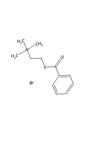 C[N+](C)(C)CCSC(=O)c1ccccc1.[Br-]